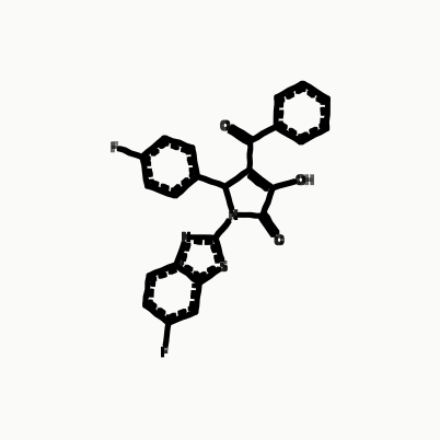 O=C(C1=C(O)C(=O)N(c2nc3ccc(F)cc3s2)C1c1ccc(F)cc1)c1ccccc1